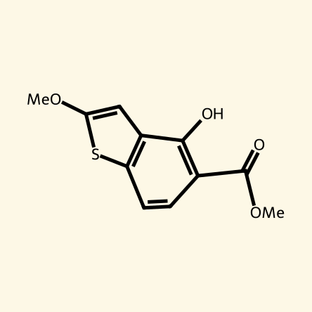 COC(=O)c1ccc2sc(OC)cc2c1O